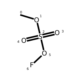 COS(=O)(=O)OF